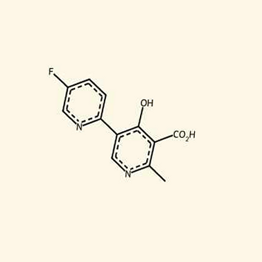 Cc1ncc(-c2ccc(F)cn2)c(O)c1C(=O)O